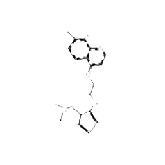 CN(C)CC1C=CC=C1NCCNc1ccnc2cc(Cl)ccc12